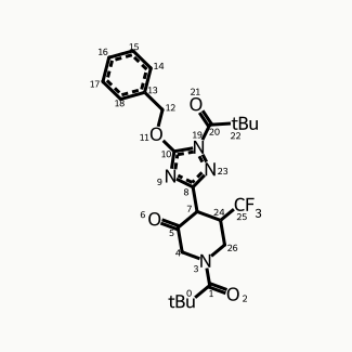 CC(C)(C)C(=O)N1CC(=O)C(c2nc(OCc3ccccc3)n(C(=O)C(C)(C)C)n2)C(C(F)(F)F)C1